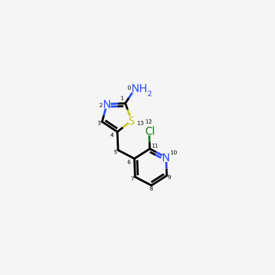 Nc1ncc(Cc2cccnc2Cl)s1